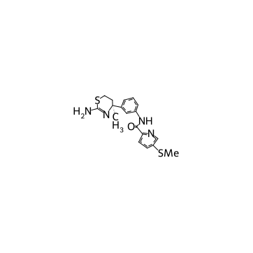 CSc1ccc(C(=O)Nc2cccc([C@]3(C)CCSC(N)=N3)c2)nc1